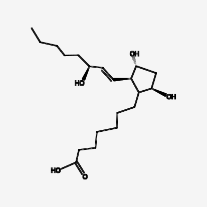 CCCCC[C@H](O)/C=C/[C@@H]1C(CCCCCCC(=O)O)[C@H](O)C[C@H]1O